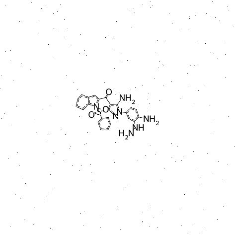 NNc1cc(-n2ncc(C(=O)c3cc4ccccc4n3S(=O)(=O)c3ccccc3)c2N)ccc1N